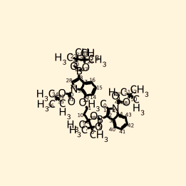 Cc1c(B2OC(C)(C)C(C)(CCOc3cccc4c(B5OC(C)(C)C(C)(C)O5)cn(C(=O)OC(C)(C)C)c34)O2)c2ccccc2n1C(=O)OC(C)(C)C